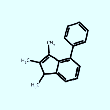 CC1=C(C)C(C)c2cccc(-c3ccccc3)c21